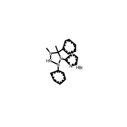 Br.CN1NN(c2ccccc2)N(c2nccs2)C1(C)c1ccccc1